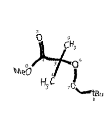 COC(=O)C(C)(C)OOC(C)(C)C